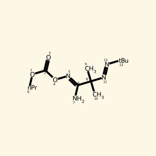 CCCOC(=O)ON=C(N)C(C)(C)N=NC(C)(C)C